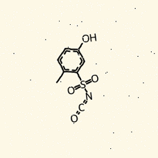 Cc1ccc(O)cc1S(=O)(=O)N=C=O